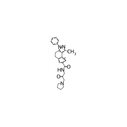 Cc1nn(-c2ccccc2)c2c1-c1sc(C(=O)NCC(=O)CN3CCCC3)cc1CC2